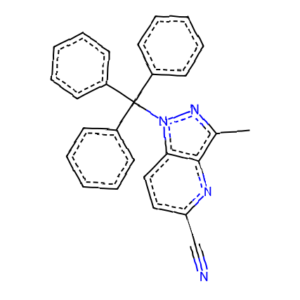 Cc1nn(C(c2ccccc2)(c2ccccc2)c2ccccc2)c2ccc(C#N)nc12